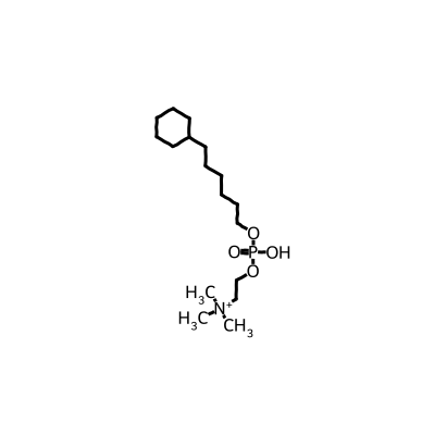 C[N+](C)(C)CCOP(=O)(O)OCCCCCCC1CCCCC1